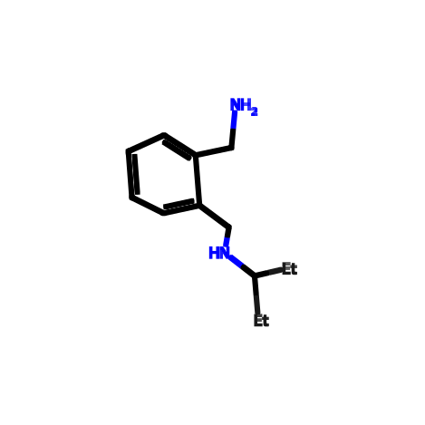 CCC(CC)NCc1ccccc1CN